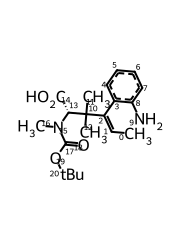 C/C=C(\c1ccccc1N)C(C)(C)[C@@H](C(=O)O)N(C)C(=O)OC(C)(C)C